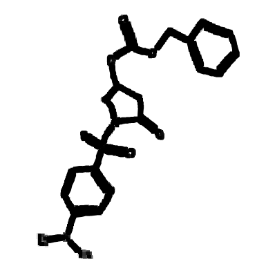 CCN(CC)c1ccc(S(=O)(=O)N2CC(OC(=O)OCc3ccccc3)CC2=O)cc1